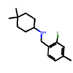 Cc1ccc(CNC2CCC(C)(C)CC2)c(F)c1